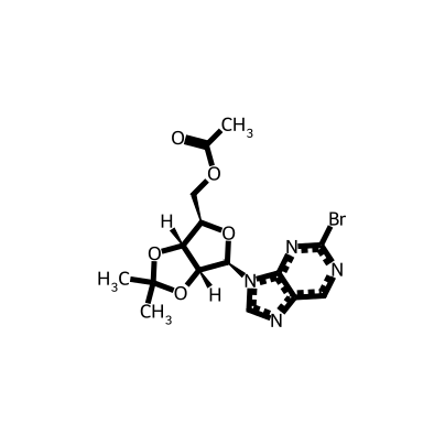 CC(=O)OC[C@H]1O[C@@H](n2cnc3cnc(Br)nc32)[C@@H]2OC(C)(C)O[C@@H]21